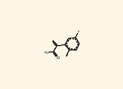 C=C(C(=O)O)c1cc(F)ccc1C